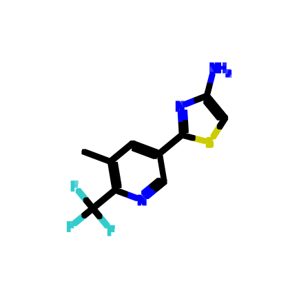 Cc1cc(-c2nc(N)cs2)cnc1C(F)(F)F